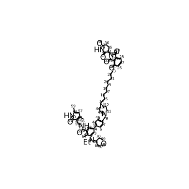 CCN(c1cc(-c2ccc(CN3CCN(CCCCCCCCCCOc4cccc5c4C(=O)N(C4CCC(=O)NC4=O)C5=O)CC3)cc2)cc(C(=O)NCc2c(C)cc(C)[nH]c2=O)c1C)C1CCOCC1